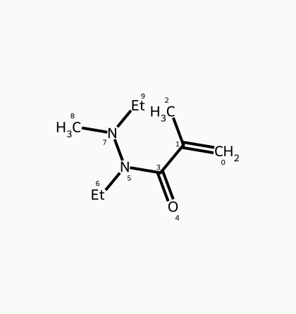 C=C(C)C(=O)N(CC)N(C)CC